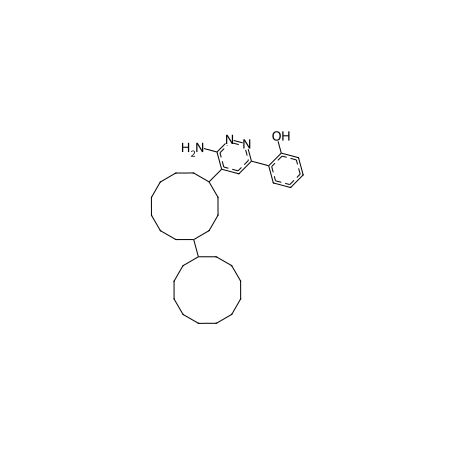 Nc1nnc(-c2ccccc2O)cc1C1CCCCCCCC(C2CCCCCCCCCCC2)CCC1